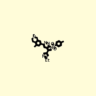 CCn1cc(-c2cn(S(=O)(=O)c3ccc(C)cc3)c3nnc(-c4cc(C)c5c(c4)CN(C)CC5)cc23)cn1